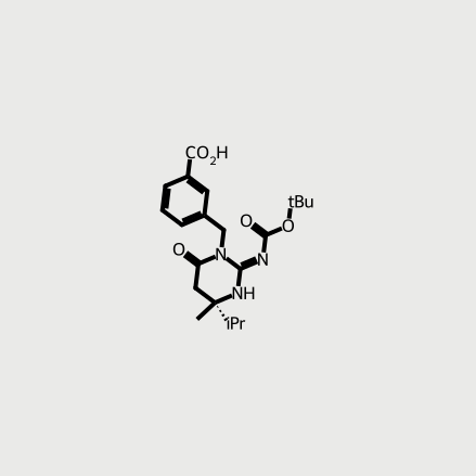 CC(C)[C@]1(C)CC(=O)N(Cc2cccc(C(=O)O)c2)/C(=N\C(=O)OC(C)(C)C)N1